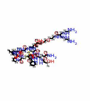 CCCC[C@H](NC(=O)CCC(=O)NCCCOCCOCCOCCCNC(=O)C(CNCCN)CNCCN)C(=O)N[C@@H](CSC1=C(SC[C@H](NC(=O)[C@H](Cc2ccccc2)NC(=O)[C@H](CCC(N)=O)NC(=O)C[C@@H](C)O)C(=O)NCCC(=O)O)C(=O)NC1=O)C(=O)N1CCC[C@H]1C(=O)N1CCC[C@H]1C(N)=O